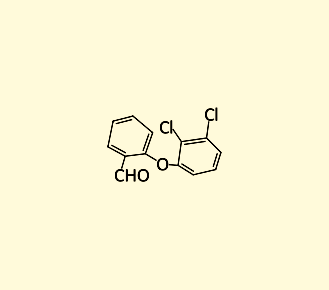 O=Cc1ccccc1Oc1cccc(Cl)c1Cl